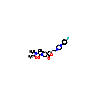 CC(=O)N(C)[C@@H](C)C(=O)N1CCC2(CC1)C[C@H](CCN1CCN(c3ccc(F)cc3)CC1)OC2=O